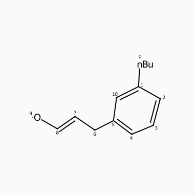 CCCCc1cccc(CC=C[O])c1